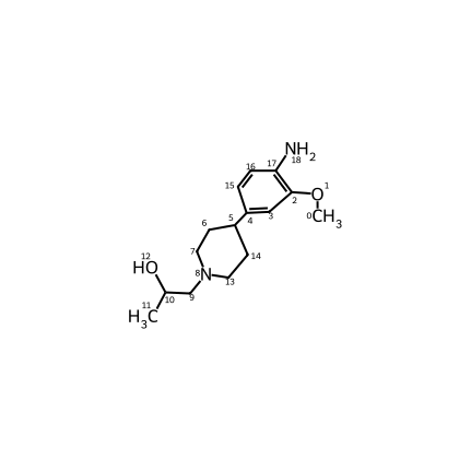 COc1cc(C2CCN(CC(C)O)CC2)ccc1N